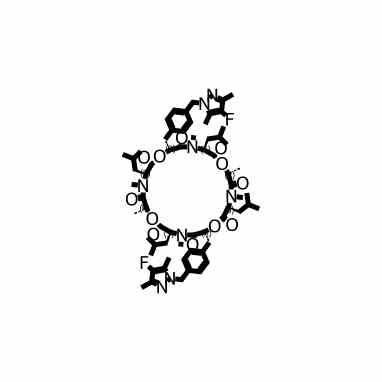 Cc1nn(Cc2ccc(C[C@H]3OC(=O)[C@H](CC(C)C)N(C)C(=O)[C@@H](C)OC(=O)[C@H](CC(C)C)N(C)C(=O)[C@@H](Cc4ccc(Cn5nc(C)c(F)c5C)cc4)OC(=O)[C@H](CC(C)C)N(C)C(=O)[C@@H](C)OC(=O)[C@H](CC(C)C)N(C)C3=O)cc2)c(C)c1F